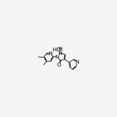 Cc1cnc(-n2[nH]cc(-c3cccnc3)c2=O)cc1C.Cl